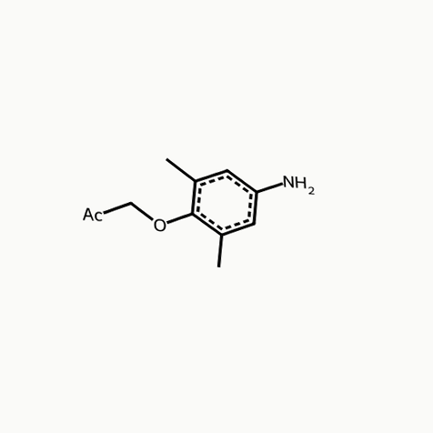 CC(=O)COc1c(C)cc(N)cc1C